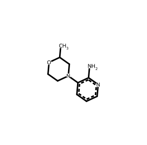 CC1CN(c2cccnc2N)CCO1